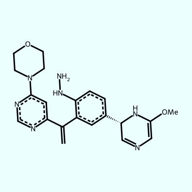 C=C(c1cc(N2CCOCC2)ncn1)c1cc([C@H]2C=NC=C(OC)N2)ccc1NN